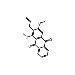 C=CCc1c(OC)cc2c(c1OC)C(=O)c1ccccc1C2=O